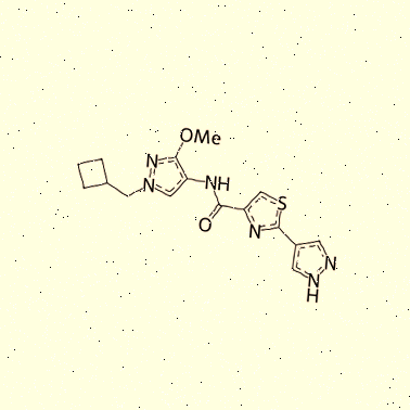 COc1nn(CC2CCC2)cc1NC(=O)c1csc(-c2cn[nH]c2)n1